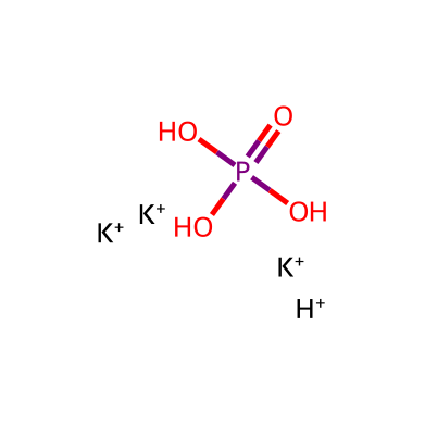 O=P(O)(O)O.[H+].[K+].[K+].[K+]